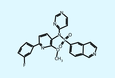 COc1nc(-c2cccc(F)c2)ccc1N(c1ccncn1)S(=O)(=O)c1ccc2cnccc2c1